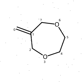 C=C1COCCOC1